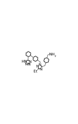 CCc1nc(Cc2ccc(CN)cc2)n(Cc2ccc(-c3ccccc3-c3nnn[nH]3)cc2)n1